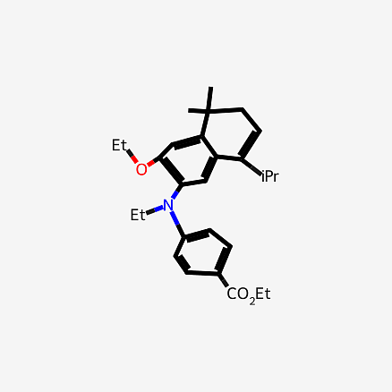 CCOC(=O)c1ccc(N(CC)c2cc3c(cc2OCC)C(C)(C)CC=C3C(C)C)cc1